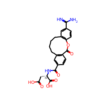 N=C(N)c1ccc2c(c1)CCCCc1cc(C(=O)N[C@@H](CC(=O)O)C(=O)O)ccc1C(=O)O2